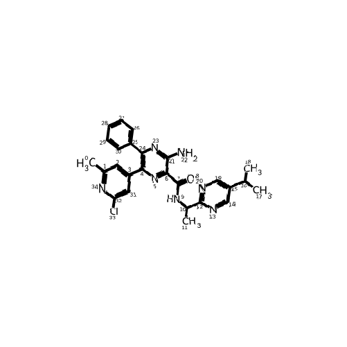 Cc1cc(-c2nc(C(=O)NC(C)c3ncc(C(C)C)cn3)c(N)nc2-c2ccccc2)cc(Cl)n1